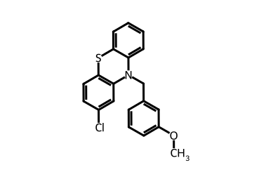 COc1cccc(CN2c3ccccc3Sc3ccc(Cl)cc32)c1